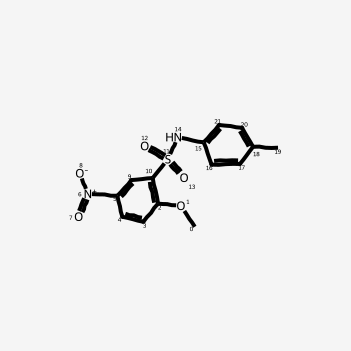 COc1ccc([N+](=O)[O-])cc1S(=O)(=O)Nc1ccc(C)cc1